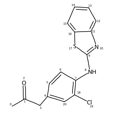 CC(=O)Cc1ccc(Nc2nc3ccccc3s2)c(Cl)c1